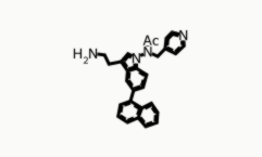 CC(=O)N(Cc1ccncc1)n1cc(CCN)c2cc(-c3cccc4ccccc34)ccc21